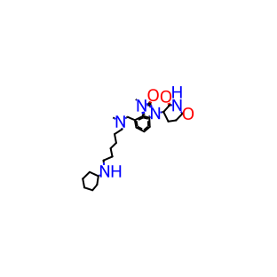 CN(CCCCCCNC1CCCCC1)Cc1cccc2c1n(C)c(=O)n2C1CCC(=O)NC1=O